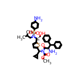 COC(=O)N(C(=O)[C@@H](N)C(c1ccccc1)c1ccccc1)[C@H](c1ccc([C@@H](CO)N(CC(C)C)S(=O)(=O)c2ccc(N)cc2)s1)C1CC1